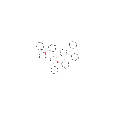 Cc1cc2c(c(-c3c(-c4ccccc4-c4ccccc4)cccc3-c3nnnc(-c4ccccc4)c3-c3c(C)c(C)cc4c3Cc3ccccc3-4)c1C)Cc1ccccc1-2